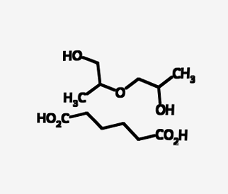 CC(O)COC(C)CO.O=C(O)CCCCC(=O)O